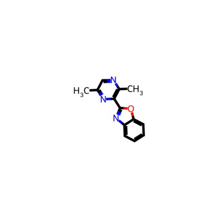 Cc1cnc(C)c(-c2nc3ccccc3o2)n1